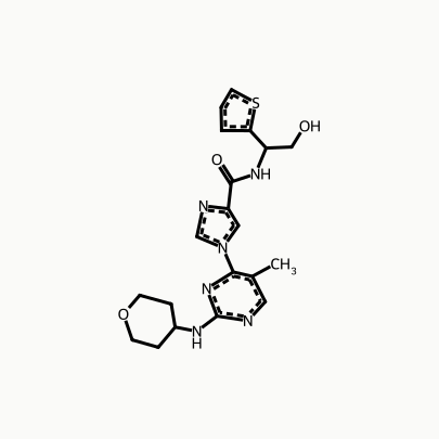 Cc1cnc(NC2CCOCC2)nc1-n1cnc(C(=O)NC(CO)c2cccs2)c1